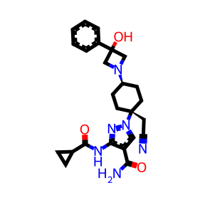 N#CC[C@]1(n2cc(C(N)=O)c(NC(=O)C3CC3)n2)CC[C@H](N2CC(O)(c3ccccc3)C2)CC1